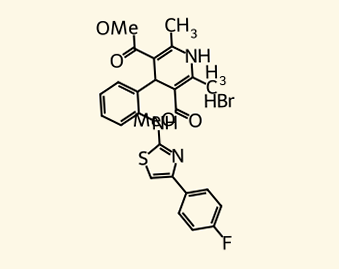 Br.COC(=O)C1=C(C)NC(C)=C(C(=O)OC)C1c1ccccc1Nc1nc(-c2ccc(F)cc2)cs1